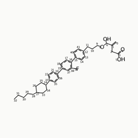 C=C(CC(=O)O)C(O)OCCCc1ccc(-c2ccc(-c3ccc(C4CCC(CCCCC)CC4)cc3)cc2F)cc1